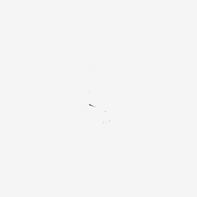 c1ccc2c(c1)C[C@H](Cc1c[nH]c3ccccc13)N2